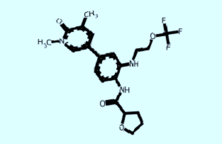 Cc1cc(-c2ccc(NC(=O)C3CCCO3)c(NCCOC(F)(F)F)c2)cn(C)c1=O